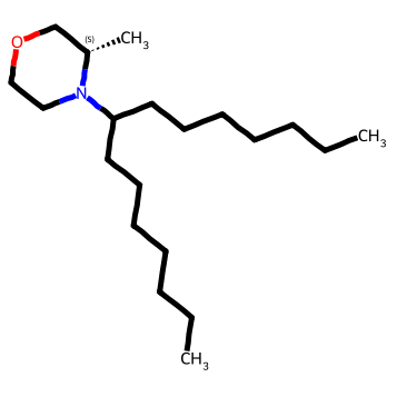 CCCCCCCC(CCCCCCC)N1CCOC[C@@H]1C